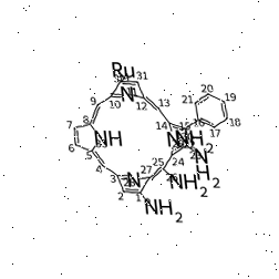 NC1=Cc2cc3ccc(cc4nc(cc5c(-c6ccccc6)c(N)c(c(N)c1n2)n5N)C=C4)[nH]3.[Ru]